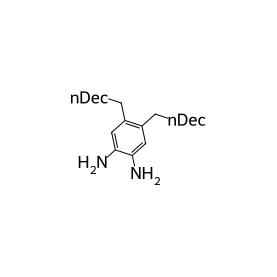 CCCCCCCCCCCc1cc(N)c(N)cc1CCCCCCCCCCC